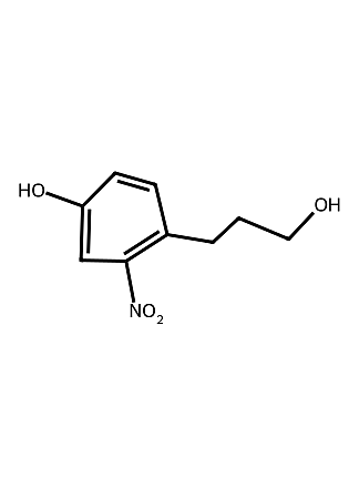 O=[N+]([O-])c1cc(O)ccc1CCCO